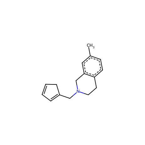 Cc1ccc2c(c1)CN(CC1=CC=CC1)CC2